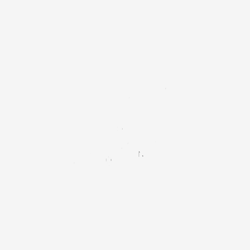 CC/C(=N/C(=O)OC(C)C)c1ccccc1